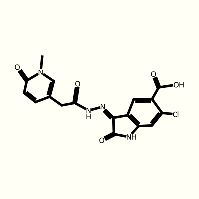 Cn1cc(CC(=O)NN=C2C(=O)Nc3cc(Cl)c(C(=O)O)cc32)ccc1=O